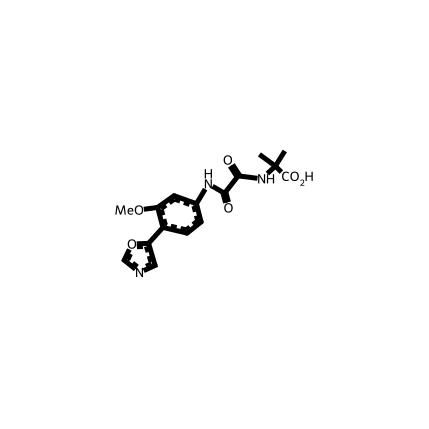 COc1cc(NC(=O)C(=O)NC(C)(C)C(=O)O)ccc1-c1cnco1